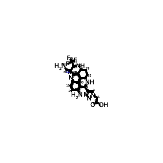 N=C(c1cn(CC(=O)O)nn1)c1c(N)ccc2nc(/C(=C/N)C(=N)C(F)(F)F)c3c(c12)CCCC3